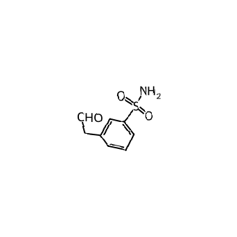 NS(=O)(=O)c1cccc(CC=O)c1